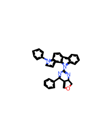 C1=C2C(c3ccccc3)=NC(n3c4ccccc4c4ccc5c(ccn5-c5ccccc5)c43)=NC2CO1